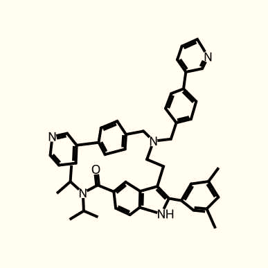 Cc1cc(C)cc(-c2[nH]c3ccc(C(=O)N(C(C)C)C(C)C)cc3c2CCN(Cc2ccc(-c3cccnc3)cc2)Cc2ccc(-c3cccnc3)cc2)c1